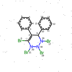 BrC1=C(c2ccccc2)C(c2ccccc2)N(Br)N(Br)N1Br